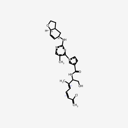 C=C(Cl)/C=C\C=C(/C)C(CO)NC(=O)c1ccn(-c2nc(N[C@H]3C=C[C@H]4OCCC4C3)ncc2C)c1